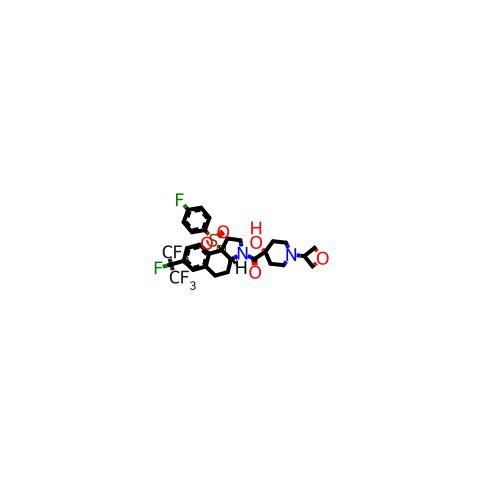 O=C(N1CC[C@@]2(S(=O)(=O)c3ccc(F)cc3)c3ccc(C(F)(C(F)(F)F)C(F)(F)F)cc3CC[C@@H]12)C1(O)CCN(C2COC2)CC1